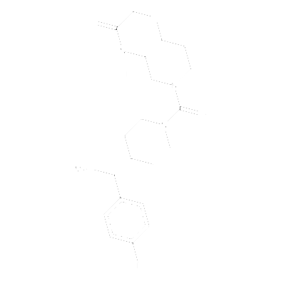 COC(c1ccc(F)cc1)C1CCN(C(=O)N2CC[C@@H]3OCC(=O)N[C@@H]3C2)CC1